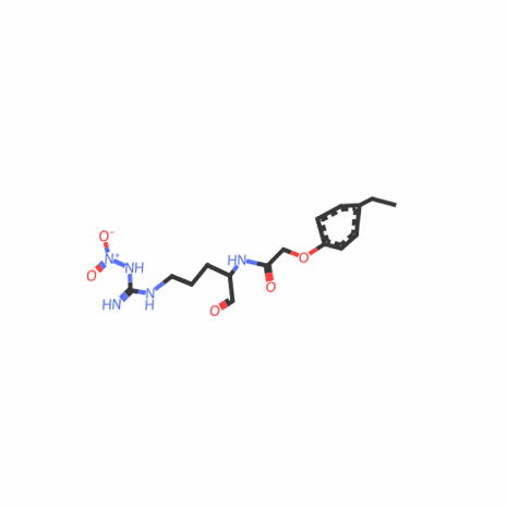 CCc1ccc(OCC(=O)NC(C=O)CCCNC(=N)N[N+](=O)[O-])cc1